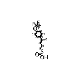 C/C(=C\CCSC(=O)O)c1ccc(OC(F)(F)F)cc1